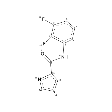 O=C(Nc1cccc(F)c1F)c1cscn1